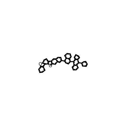 c1ccc(-c2c3ccccc3c(-c3ccc(-c4ccc5cc6c(cc5c4)oc4c6ccc5oc6ccccc6c54)c4ccccc34)c3ccccc23)cc1